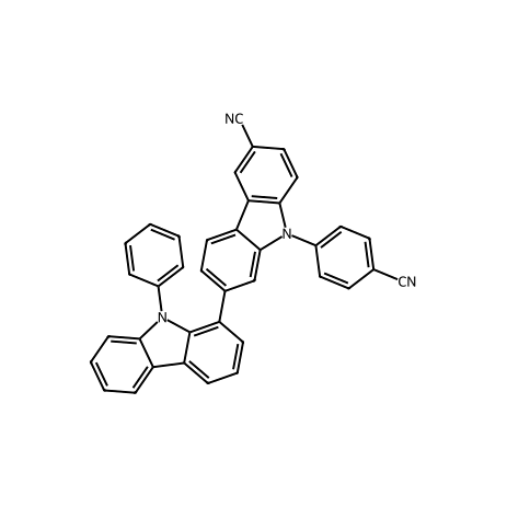 N#Cc1ccc(-n2c3ccc(C#N)cc3c3ccc(-c4cccc5c6ccccc6n(-c6ccccc6)c45)cc32)cc1